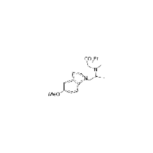 CCOC(=O)CN(C)C(C)Cn1ccc2cc(OC)ccc21